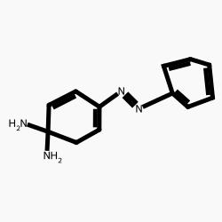 NC1(N)C=CC(N=Nc2ccccc2)=CC1